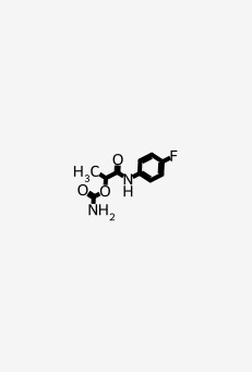 CC(OC(N)=O)C(=O)Nc1ccc(F)cc1